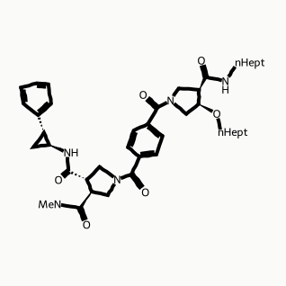 CCCCCCCNC(=O)[C@@H]1CN(C(=O)c2ccc(C(=O)N3C[C@@H](C(=O)NC)[C@H](C(=O)N[C@H]4C[C@@H]4c4ccccc4)C3)cc2)C[C@@H]1OCCCCCCC